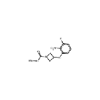 CC(C)(C)OC(=O)N1CC(Nc2cccc(F)c2[N+](=O)[O-])C1